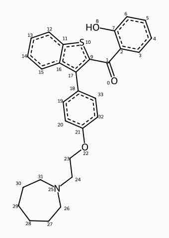 O=C(c1ccccc1O)c1sc2ccccc2c1-c1ccc(OCCN2CCCCCC2)cc1